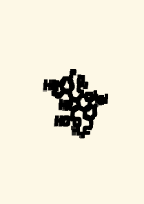 CCc1cc(-c2c(C(=O)O)[nH]c(-c3cc(F)cc4[nH]ccc34)c2C(C)C)c2cc[nH]c2c1